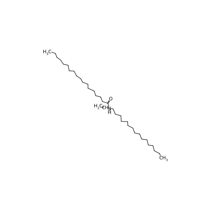 C=C.CCCCCCCCCCCCCCCCCC(=O)NCCCCCCCCCCCCCCCC